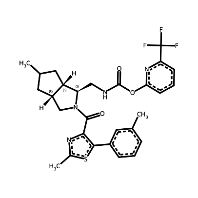 Cc1cccc(-c2sc(C)nc2C(=O)N2C[C@@H]3CC(C)C[C@@H]3[C@H]2CNC(=O)Oc2cccc(C(F)(F)F)n2)c1